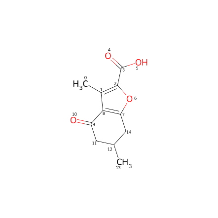 Cc1c(C(=O)O)oc2c1C(=O)CC(C)C2